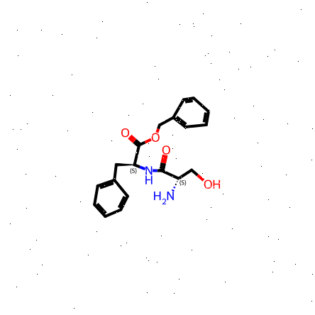 N[C@@H](CO)C(=O)N[C@@H](Cc1ccccc1)C(=O)OCc1ccccc1